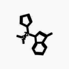 CC1=C[CH]([Zr]([CH]2C=CC=C2)=[Si](C)C)c2ccccc21